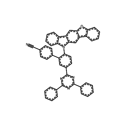 N#Cc1ccc(-c2cc(-c3nc(-c4ccccc4)nc(-c4ccccc4)n3)ccc2-n2c3ccccc3c3cc4oc5ccccc5c4cc32)cc1